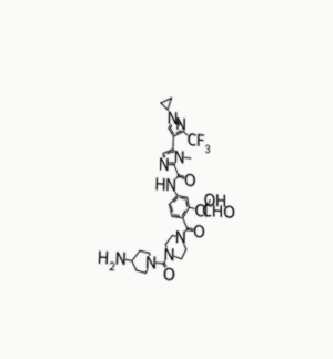 Cn1c(-c2cn(C3CC3)nc2C(F)(F)F)cnc1C(=O)Nc1ccc(C(=O)N2CCN(C(=O)N3CCC(N)CC3)CC2)c(Cl)c1.O=CO